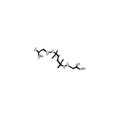 CCCCC(CC)COOC(C)(C)CCC(C)(C)OOCC(CC)CCCC